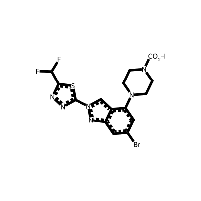 O=C(O)N1CCN(c2cc(Br)cc3nn(-c4nnc(C(F)F)s4)cc23)CC1